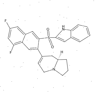 O=S(=O)(c1cc2ccccc2[nH]1)c1cc2cc(F)cc(F)c2cc1C1=CCN2CCC[C@@H]2C1